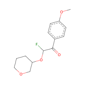 COc1ccc(C(=O)C(F)OC2CCCOC2)cc1